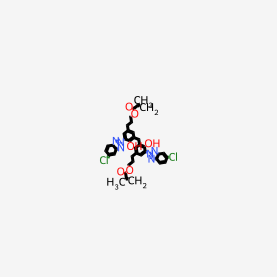 C=C(C)C(=O)OCCCc1cc(Cc2cc(CCCOC(=O)C(=C)C)cc(-n3nc4ccc(Cl)cc4n3)c2O)c(O)c(-n2nc3ccc(Cl)cc3n2)c1